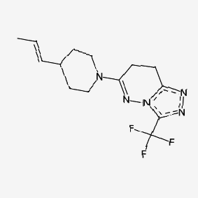 C/C=C/C1CCN(C2=Nn3c(nnc3C(F)(F)F)CC2)CC1